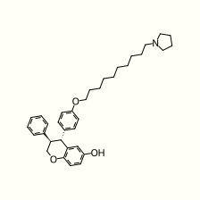 Oc1ccc2c(c1)[C@@H](c1ccc(OCCCCCCCCCCN3CCCC3)cc1)[C@H](c1ccccc1)CO2